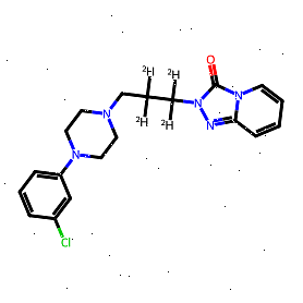 [2H]C([2H])(CN1CCN(c2cccc(Cl)c2)CC1)C([2H])([2H])n1nc2ccccn2c1=O